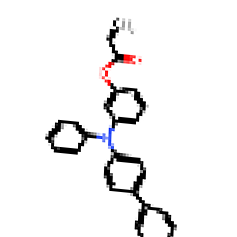 C=CC(=O)Oc1cccc(N(c2ccccc2)c2ccc(-c3ccccc3)cc2)c1